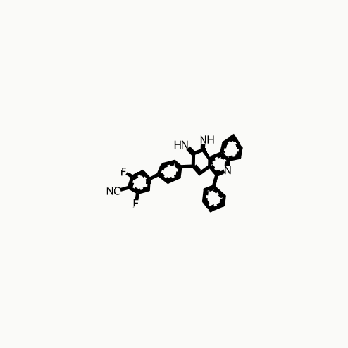 N#Cc1c(F)cc(-c2ccc(C3=Cc4c(-c5ccccc5)nc5ccccc5c4C(=N)C3=N)cc2)cc1F